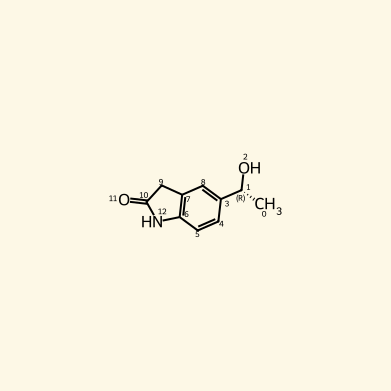 C[C@@H](O)c1ccc2c(c1)CC(=O)N2